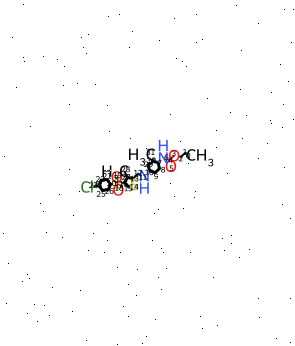 CCCOC(=O)Nc1ccc(NCc2scc(S(=O)(=O)c3ccc(Cl)cc3)c2C)cc1C